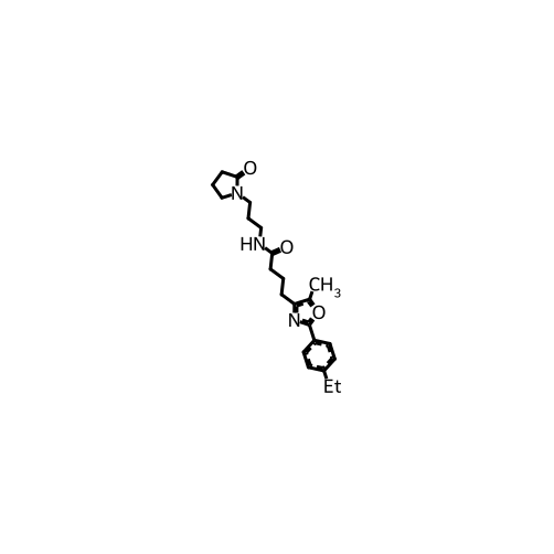 CCc1ccc(-c2nc(CCCC(=O)NCCCN3CCCC3=O)c(C)o2)cc1